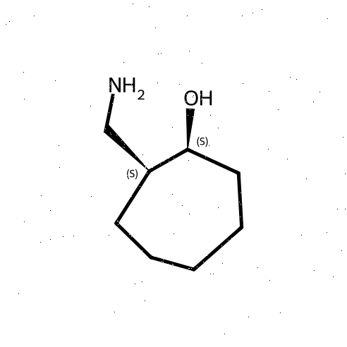 NC[C@@H]1CCCCC[C@@H]1O